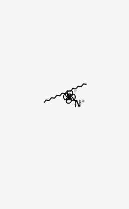 CCCCCCCCC(CCCCCCCC)OP(=O)([O-])OCC[N+](C)(C)C